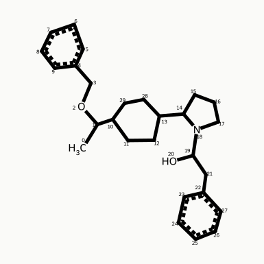 CC(OCc1ccccc1)C1CCC(C2CCCN2C(O)Cc2ccccc2)CC1